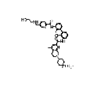 Cc1cc(C(=O)Nc2cccc(-c3cccc(NC(=O)c4ccc(CNCCO)cn4)c3C)c2Cl)nc2c1CCN(C1CCC(C)(C(=O)O)CC1)C2